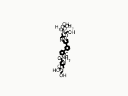 Cc1c(NC(=O)c2ccc(CN(CCO)C(=O)O)cn2)cccc1-c1cccc(-c2ccn3c(=O)c(CN(CCO)C(=O)OC(C)(C)C)cnc3c2)c1